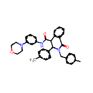 Cc1ccc(CN2C(=O)c3ccccc3C(C(=O)Nc3cccc(N4CCOCC4)c3)C2c2ccc(C(F)(F)F)cc2)cc1